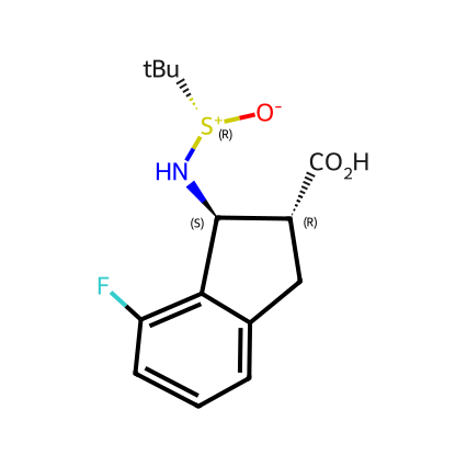 CC(C)(C)[S@+]([O-])N[C@@H]1c2c(F)cccc2C[C@H]1C(=O)O